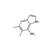 Cc1cc2cc[nH]c2c(N)c1C